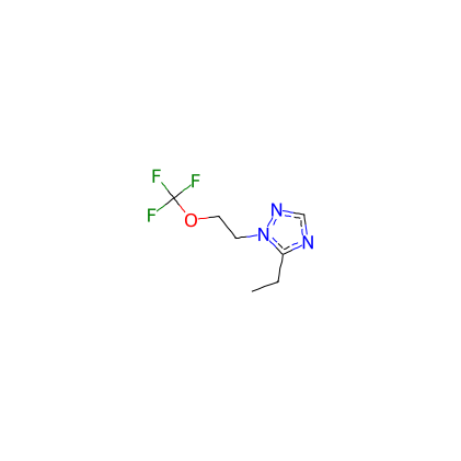 CCc1ncnn1CCOC(F)(F)F